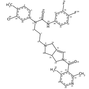 Cc1ccc(N(CCCN2CC3=CN(C(=O)c4c(C)ccnc4C)CC3C2)C(=O)Nc2ccc(F)c(F)c2)cc1Cl